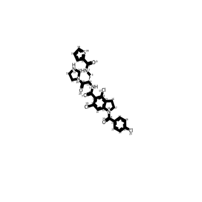 O=C(NC[C@H](NC(=O)c1c(Cl)cc2c(c1Cl)CCN2C(=O)c1ccc(Cl)cc1)C(=O)N1CCNC1)c1cccs1